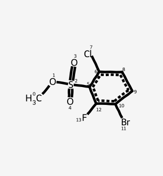 COS(=O)(=O)c1c(Cl)ccc(Br)c1F